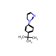 [CH2]C(C)(C)c1ccc(N2C=NC=CC2)cc1